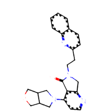 O=C1c2c(N3CC4COCC4C3)ccnc2CN1CCc1ccc2ccccc2n1